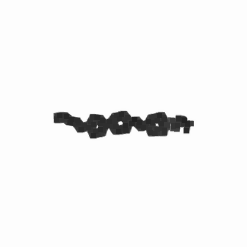 C=CCCCC1=CCC(C2CCC(CCc3ccc(CCC)cc3)CC2)CC1